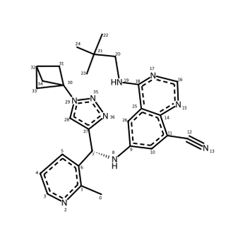 Cc1ncccc1[C@@H](Nc1cc(C#N)c2ncnc(NCC(C)(C)C)c2c1)c1cn(C23CC(C2)C3)nn1